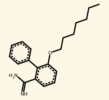 CCCCCCCOc1cccc(C(=N)N)c1-c1ccccc1